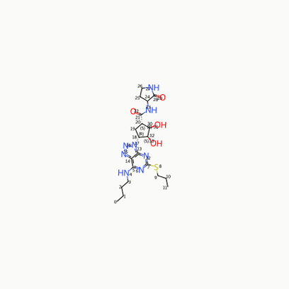 CCCCNc1nc(SCCC)nc2c1nnn2[C@@H]1C[C@H](C(=O)NC2CCNC2=O)[C@@H](O)[C@H]1O